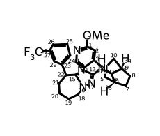 COc1cc(N2C[C@H]3CC[C@@H](C2)C3Nc2nc3n(n2)CCCCC3c2cccc(C(F)(F)F)c2)ccn1